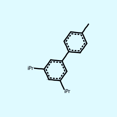 Cc1ccc(-c2cc(C(C)C)[c]c(C(C)C)c2)cc1